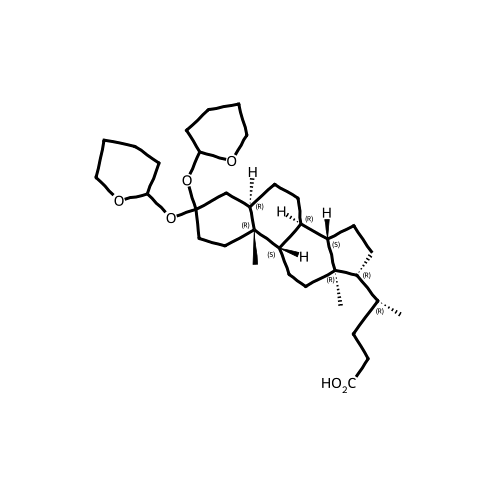 C[C@H](CCC(=O)O)[C@H]1CC[C@H]2[C@@H]3CC[C@@H]4CC(OC5CCCCO5)(OC5CCCCO5)CC[C@@]4(C)[C@H]3CC[C@]12C